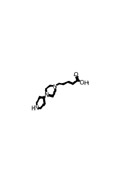 O=C(O)CCCCN1CCN(C2CCNCC2)CC1